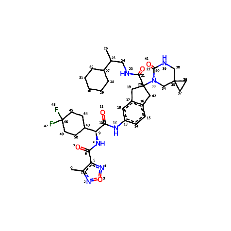 Cc1nonc1C(=O)N[C@H](C(=O)Nc1ccc2c(c1)CC(C(=O)NCC(C)C1CCCCC1)(N1CC3(CC3)CNC1=O)C2)C1CCC(F)(F)CC1